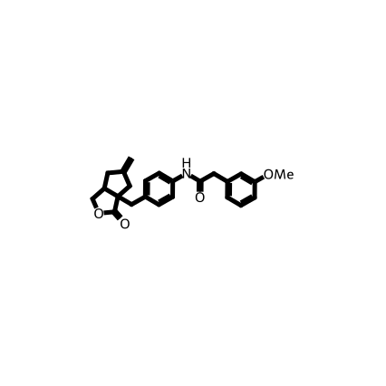 C=C1CC2COC(=O)C2(Cc2ccc(NC(=O)Cc3cccc(OC)c3)cc2)C1